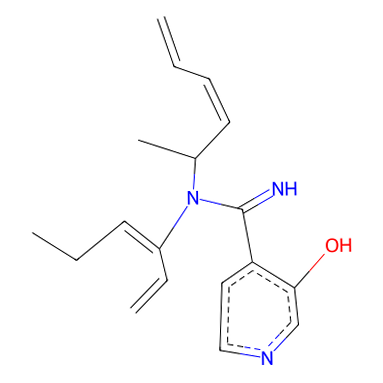 C=C/C=C\C(C)N(C(=N)c1ccncc1O)/C(C=C)=C/CC